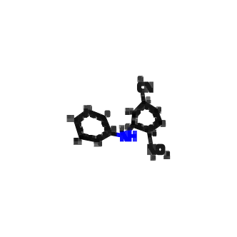 N#Cc1ccc([N+](=O)[O-])c(Nc2ccccc2)c1